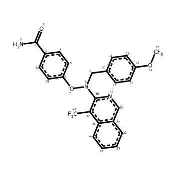 NC(=O)c1ccc(ON(Cc2ccc(OC(F)(F)F)cc2)c2ncc3ccccc3c2C(F)(F)F)cc1